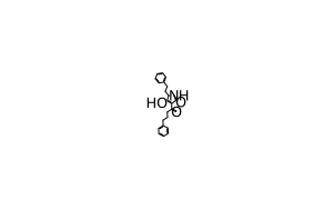 O=C(CCCc1ccccc1)C1=C(O)C(CCc2ccccc2)NC1=O